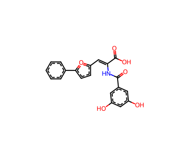 O=C(O)C(=Cc1ccc(-c2ccccc2)o1)NC(=O)c1cc(O)cc(O)c1